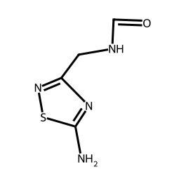 Nc1nc(CNC=O)ns1